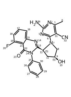 Cc1nc(N)nc(N2C[C@@H](O)C[C@H]2c2nc3cccc(F)c3c(=O)n2-c2ccccc2)c1C#N